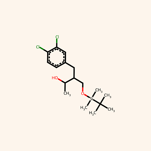 CC(O)C(CO[Si](C)(C)C(C)(C)C)Cc1ccc(Cl)c(Cl)c1